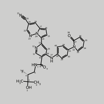 CC(C)(O)[C@H](F)CNC(=O)c1cnc(-c2ccc3cc(C#N)cnn23)cc1Nc1ccc(-n2ccccc2=O)cc1